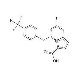 O=C(O)c1ccc2cc(F)cc(Cc3ccc(C(F)(F)F)cc3)n12